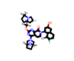 [2H]C1([2H])CC[C@@]2(C([2H])([2H])Oc3nc(N4C[C@H]5CC[C@@H](C4)N5)c4ccn(-c5cc(O)cc6ccc(F)c(CC)c56)c(=O)c4n3)C[C@@H](F)CN12